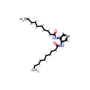 CCCCCCCCCC(=O)Nc1c[se]cc1NC(=O)CCCCCCCCC